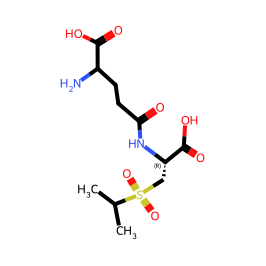 CC(C)S(=O)(=O)C[C@H](NC(=O)CCC(N)C(=O)O)C(=O)O